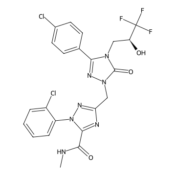 CNC(=O)c1nc(Cn2nc(-c3ccc(Cl)cc3)n(C[C@H](O)C(F)(F)F)c2=O)nn1-c1ccccc1Cl